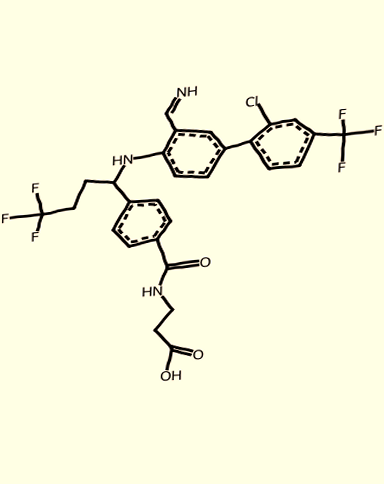 N=Cc1cc(-c2ccc(C(F)(F)F)cc2Cl)ccc1NC(CCC(F)(F)F)c1ccc(C(=O)NCCC(=O)O)cc1